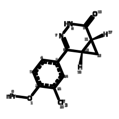 CCCOc1ccc(C2=NNC(=O)[C@@H]3C[C@H]23)cc1C(F)(F)F